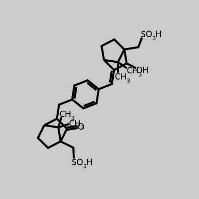 CC1(C)C2CCC1(CS(=O)(=O)O)C(=O)C2Cc1ccc(/C=C2\C3CCC(CS(=O)(=O)O)(C2O)C3(C)C)cc1